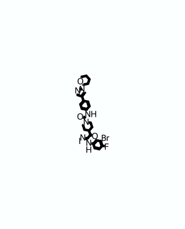 O=C(/C(=N/I)Nc1ccc(F)c(Br)c1)C1CCN(C(=O)Nc2ccc(-c3cnn(C4CCCCO4)c3)cc2)CC1